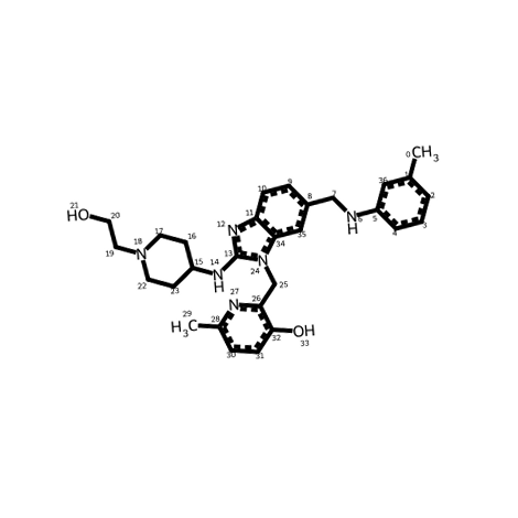 Cc1cccc(NCc2ccc3nc(NC4CCN(CCO)CC4)n(Cc4nc(C)ccc4O)c3c2)c1